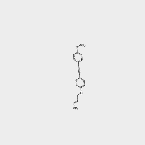 CCCC=CCOc1ccc(C#Cc2ccc(OCCCC)cc2)cc1